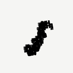 C=NN(/C=C\N)C[C@H]1CN(c2cc(F)c(N3CCON(C(=O)c4ccccc4O)CC3)c(F)c2)C(=O)O1